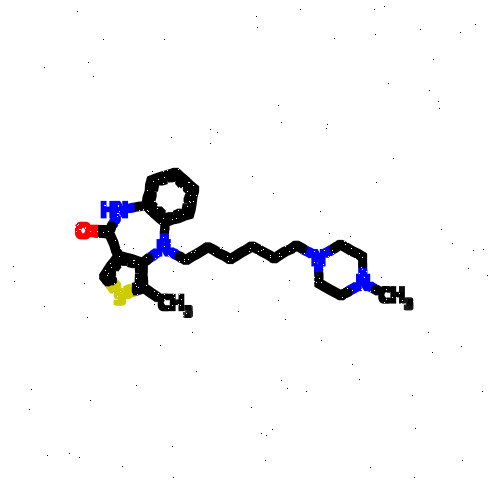 Cc1scc2c1N(CCCCCCN1CCN(C)CC1)c1ccccc1NC2=O